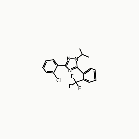 CC(C)n1nc(-c2ccccc2Cl)nc1-c1ccccc1C(F)(F)F